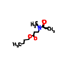 C=CC(=O)N(C)CCC(=O)OCCCC